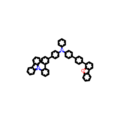 c1ccc(N(c2ccc(-c3ccc(-c4cccc5c4oc4ccccc45)cc3)cc2)c2ccc(-c3cccc(-c4ccccc4-n4c5ccccc5c5ccccc54)c3)cc2)cc1